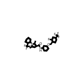 Cc1cc(C(=O)Nc2cccc(OCc3ccc(C(F)(F)F)cc3F)c2)c(C)n1-c1ccccc1C(F)(F)F